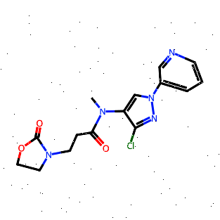 CN(C(=O)CCN1CCOC1=O)c1cn(-c2cccnc2)nc1Cl